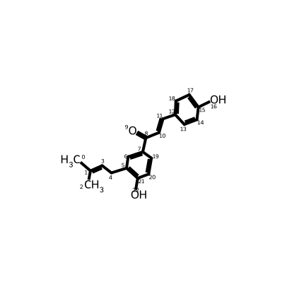 CC(C)=CCc1cc(C(=O)/C=C/c2ccc(O)cc2)ccc1O